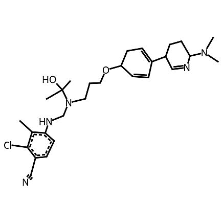 Cc1c(NCN(CCCOC2C=CC(C3C=NC(N(C)C)CC3)=CC2)C(C)(C)O)ccc(C#N)c1Cl